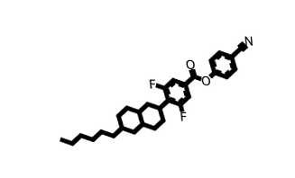 CCCCCCC1CCC2CC(c3c(F)cc(C(=O)Oc4ccc(C#N)cc4)cc3F)CCC2C1